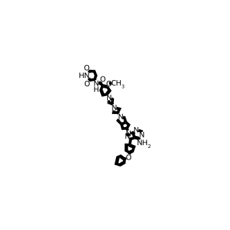 COc1cc(N2CC(N3CC(N4CC5CC(n6nc(-c7ccc(Oc8ccccc8)cc7)c7c(N)ncnc76)CC5C4)C3)C2)ccc1C(=O)NC1CCC(=O)NC1=O